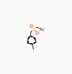 CC(=O)CS(=O)(=O)Cc1ccc(C)cc1